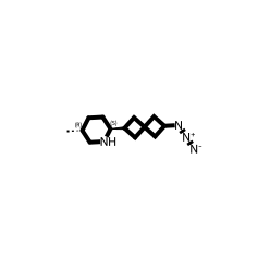 C[C@@H]1CC[C@@H](C2CC3(CC(N=[N+]=[N-])C3)C2)NC1